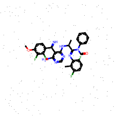 COc1ccc(C(=N)c2c(N)ncnc2NC(C)/C(=N/c2c(F)ccc(F)c2C)N(C=O)c2ccccc2)c(F)c1F